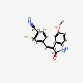 COc1ccc2c(c1)/C(=C\c1ccc(C#N)c(F)c1)C(=O)N2